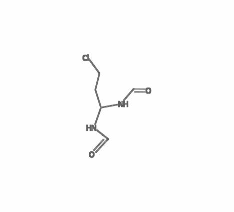 O=CNC(CCCl)NC=O